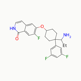 CCC(N)C1(c2cc(F)cc(F)c2)CCC(Oc2cc3cc[nH]c(=O)c3cc2F)CC1